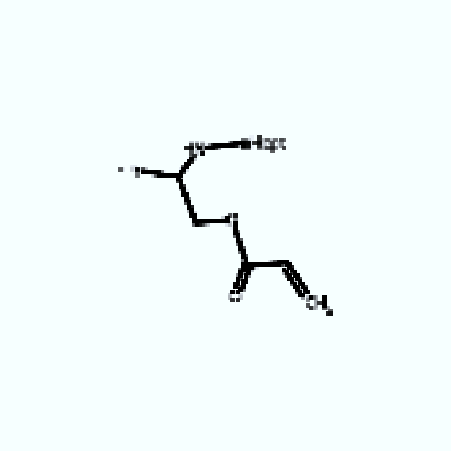 C=CC(=O)OCC(CCC)NCCCCCCC